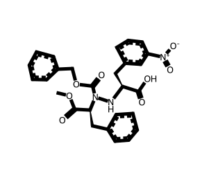 COC(=O)[C@H](Cc1ccccc1)N(N[C@@H](Cc1cccc([N+](=O)[O-])c1)C(=O)O)C(=O)OCc1ccccc1